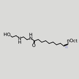 CCCCCCCC/C=C\CCCCCCCC(=O)NCCNCCO